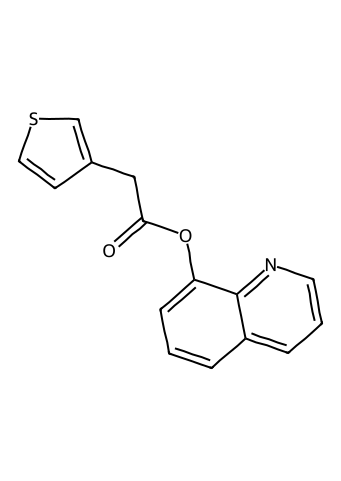 O=C(Cc1ccsc1)Oc1cccc2cccnc12